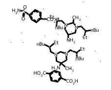 CCCCC(CC)CN1CC(N)CN(C[C@@H](CC)CCCC)C1C.CCCCC(CC)CN1CN(CC(CC)CCCC)CC(C)(N)C1.NS(=O)(=O)c1ccc(C(=O)O)cc1.O=C(O)c1ccc(C(=O)O)cc1